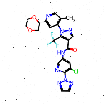 Cc1cnc([C@@H]2COCCO2)cc1-n1ncc(C(=O)Nc2cnc(-n3nccn3)c(Cl)c2)c1C(F)(F)F